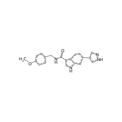 COc1ccc(CNC(=O)c2c[nH]c3cc(-c4cn[nH]c4)ccc23)cc1